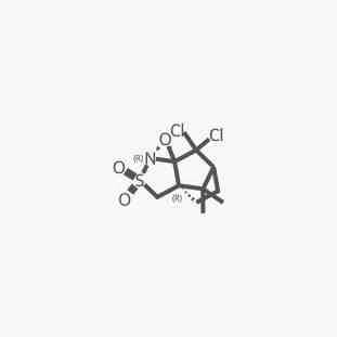 CC1(C)C2CC[C@@]13CS(=O)(=O)[N@]1OC13C2(Cl)Cl